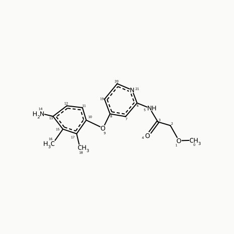 COCC(=O)Nc1cc(Oc2ccc(N)c(C)c2C)ccn1